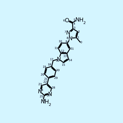 Cc1cc(C(N)=O)nn1-c1ccc2c(ccn2Cc2ccc(-c3cnc(N)nc3)cc2)c1